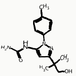 Cc1ccc(-n2nc(C(C)(C)CO)cc2NC(N)=O)cc1